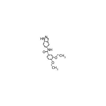 CCOc1ccc(C(=O)Nc2ccc3[nH]ncc3c2)cc1OCC